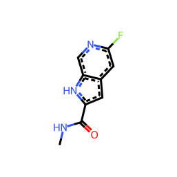 CNC(=O)c1cc2cc(F)ncc2[nH]1